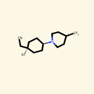 CC[C@]1(CC#N)CC[C@@H](N2CCC(C(F)(F)F)CC2)CC1